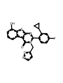 O=c1c2c(nc(-c3ccc(F)cc3C3CC3)n1Cc1ccno1)sc1c(O)cccc12